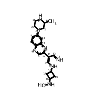 CC1CN(c2ccc3ncc(/C(C=N)=C/NC4CC(NO)C4)nc3c2)CCN1